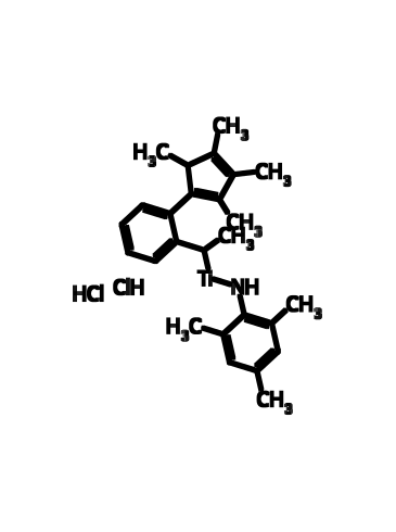 CC1=C(C)C(C)C(c2ccccc2[CH](C)[Ti][NH]c2c(C)cc(C)cc2C)=C1C.Cl.Cl